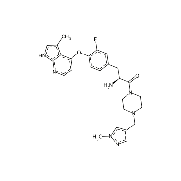 Cc1c[nH]c2nccc(Oc3ccc(C[C@H](N)C(=O)N4CCN(Cc5cnn(C)c5)CC4)cc3F)c12